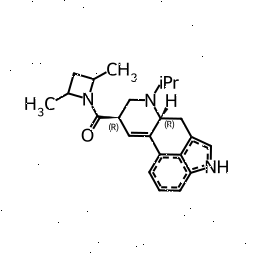 CC1CC(C)N1C(=O)[C@@H]1C=C2c3cccc4[nH]cc(c34)C[C@H]2N(C(C)C)C1